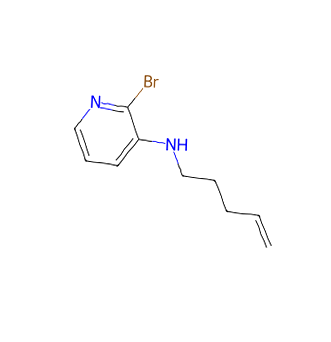 C=CCCCNc1cccnc1Br